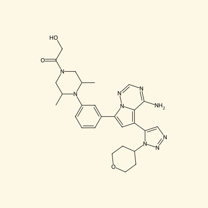 CC1CN(C(=O)CO)CC(C)N1c1cccc(-c2cc(-c3cnnn3C3CCOCC3)c3c(N)ncnn23)c1